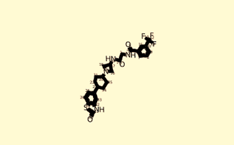 O=C(CNC(=O)c1cccc(C(F)(F)F)c1)NC1CN(C2CCC(c3ccc4sc(=O)[nH]c4c3)CC2)C1